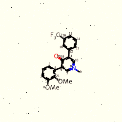 COc1cccc(-c2cn(C)cc(-c3cccc(C(F)(F)F)c3)c2=O)c1OC